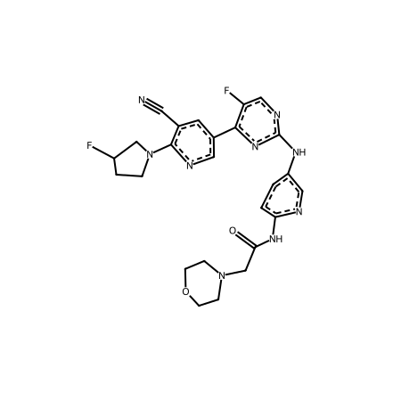 N#Cc1cc(-c2nc(Nc3ccc(NC(=O)CN4CCOCC4)nc3)ncc2F)cnc1N1CCC(F)C1